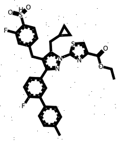 CCOC(=O)c1csc(-n2nc(-c3ccc(F)c(-c4ccc(C)cc4)c3)c(Cc3ccc([SH](=O)=O)c(F)c3)c2CC2CC2)n1